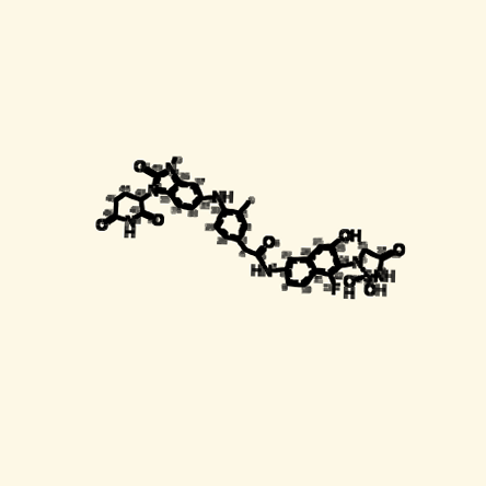 Cc1cc(CC(=O)Nc2ccc3c(F)c(N4CC(=O)NS4(O)O)c(O)cc3c2)ccc1Nc1ccc2c(c1)n(C)c(=O)n2C1CCC(=O)NC1=O